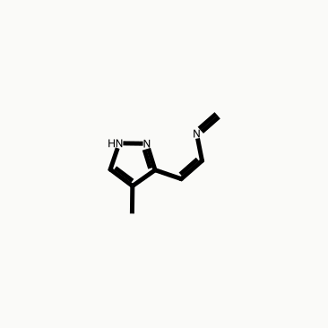 C=N/C=C\c1n[nH]cc1C